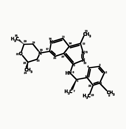 Cc1cccc([C@@H](C)Nc2nnc(C)c3cnc(N4C[C@@H](C)O[C@H](C)C4)cc23)c1C